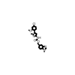 COc1cc(Cl)ccc1-c1cc(NC(=O)OCc2ccc3c(c2)ncn3C)nn1C